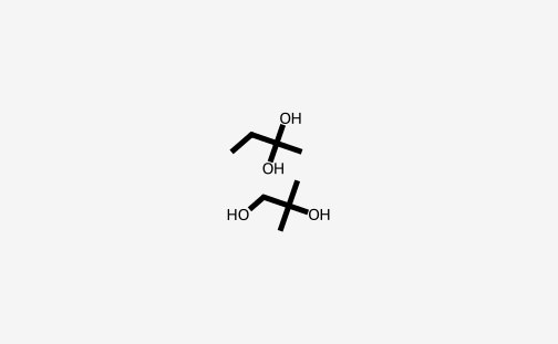 CC(C)(O)CO.CCC(C)(O)O